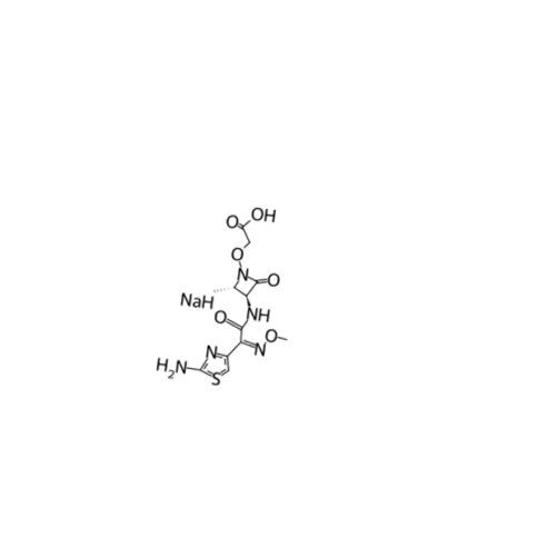 CO/N=C(\C(=O)N[C@@H]1C(=O)N(OCC(=O)O)[C@H]1C)c1csc(N)n1.[NaH]